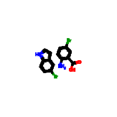 Brc1ccc2[nH]ccc2c1.Nc1ccc(Br)cc1C(=O)O